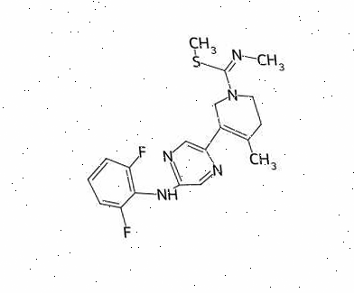 C/N=C(/SC)N1CCC(C)=C(c2cnc(Nc3c(F)cccc3F)cn2)C1